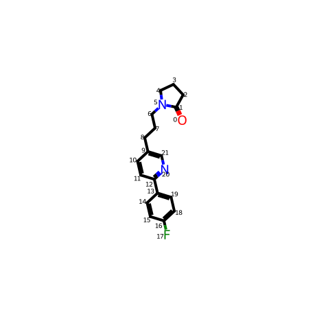 O=C1CCCN1CCCc1ccc(-c2ccc(F)cc2)nc1